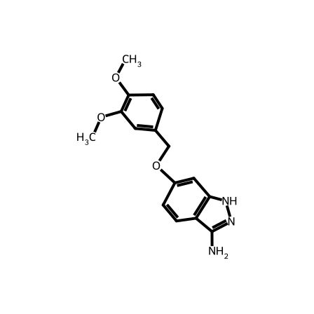 COc1ccc(COc2ccc3c(N)n[nH]c3c2)cc1OC